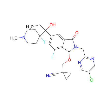 CCC(O)(c1cc(F)c2c(c1)C(=O)N(Cc1ncc(Cl)cn1)C2OCC1(C#N)CC1)C1(F)CCN(C)CC1